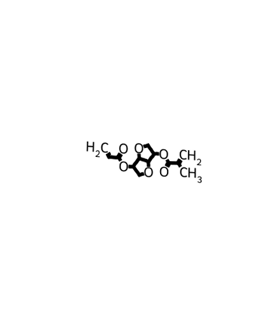 C=CC(=O)OC1COC2C(OC(=O)C(=C)C)COC12